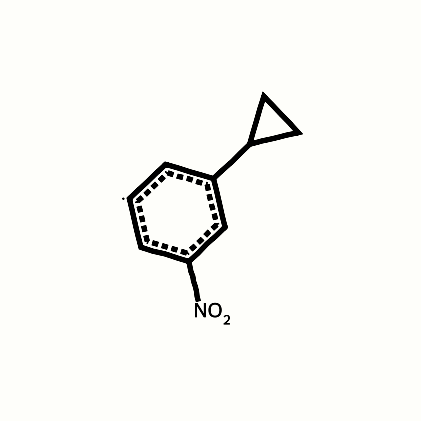 O=[N+]([O-])c1c[c]cc(C2CC2)c1